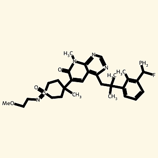 COCCN=S1(=O)CCC(C)(c2cc3c(CC(C)(C)c4cccc(C(F)P)c4C)ncnc3n(C)c2=O)CC1